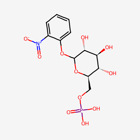 O=[N+]([O-])c1ccccc1OC1O[C@H](COP(=O)(O)O)[C@@H](O)[C@H](O)[C@H]1O